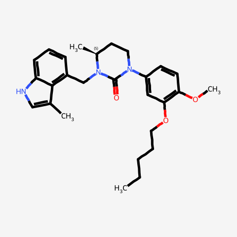 CCCCCOc1cc(N2CC[C@H](C)N(Cc3cccc4[nH]cc(C)c34)C2=O)ccc1OC